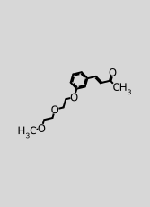 COCCOCCOc1cccc(C=CC(C)=O)c1